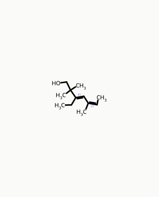 C/C=C(C)\C=C(/CC)C(C)(C)CO